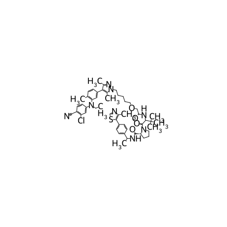 CCN(c1ccc(C#N)c(Cl)c1)c1cc(-c2c(C)nn(CCCCCOCC(=O)N[C@H](C(=O)N3CCC[C@H]3C(=O)N[C@@H](C)c3ccc(-c4scnc4C)cc3)C(C)(C)C)c2C)ccc1C